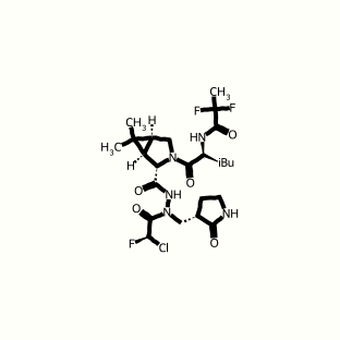 CC[C@H](C)[C@H](NC(=O)C(C)(F)F)C(=O)N1C[C@H]2[C@@H]([C@H]1C(=O)NN(C[C@@H]1CCNC1=O)C(=O)[C@H](F)Cl)C2(C)C